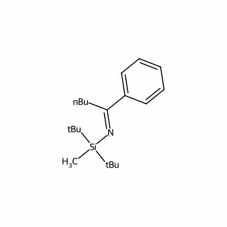 CCCCC(=N[Si](C)(C(C)(C)C)C(C)(C)C)c1ccccc1